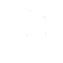 BrCc1cnc2ncncc2n1